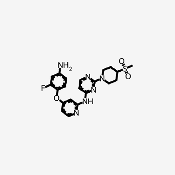 CS(=O)(=O)C1CCN(c2nccc(Nc3cc(Oc4ccc(N)cc4F)ccn3)n2)CC1